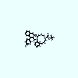 CC(C)(C)OC(=O)N1CCCC(=O)N(Cc2ncc3ccccc3c2-c2ccc(F)nc2)c2cnccc2CCC1